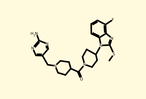 CSc1nc2c(F)cccc2n1C1CCN(C(=O)C2CCN(Cc3cnc(N)nc3)CC2)CC1